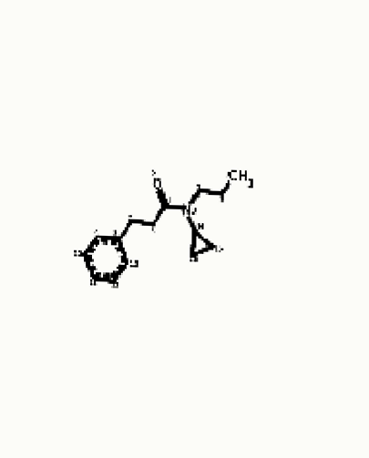 CCCN(C(=O)CCc1ccccc1)C1CC1